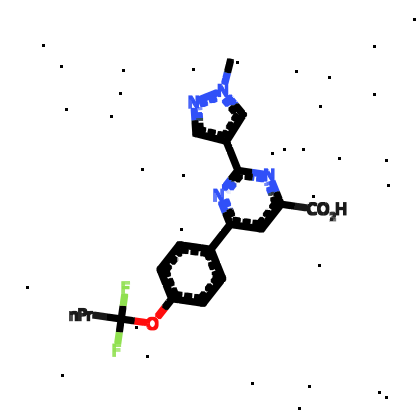 CCCC(F)(F)Oc1ccc(-c2cc(C(=O)O)nc(-c3cnn(C)c3)n2)cc1